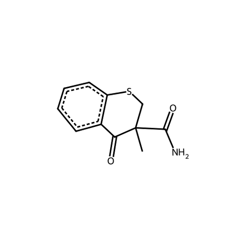 CC1(C(N)=O)CSc2ccccc2C1=O